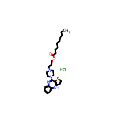 CCCCCCCCCC(=O)OCCCN1CCN(C2=Nc3ccccc3Nc3ccsc32)CC1.Cl